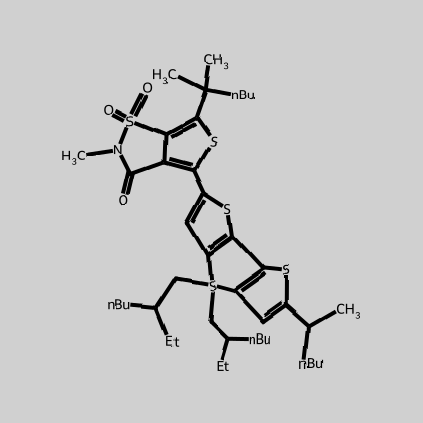 CCCCC(CC)CS1(CC(CC)CCCC)c2cc(-c3sc(C(C)(C)CCCC)c4c3C(=O)N(C)S4(=O)=O)sc2-c2sc(C(C)CCCC)cc21